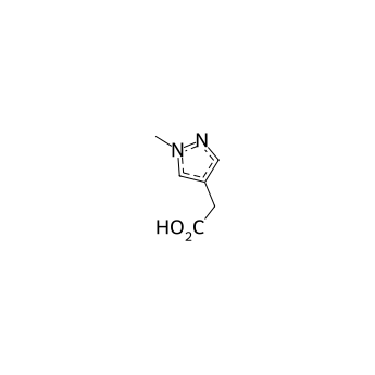 Cn1cc(CC(=O)O)cn1